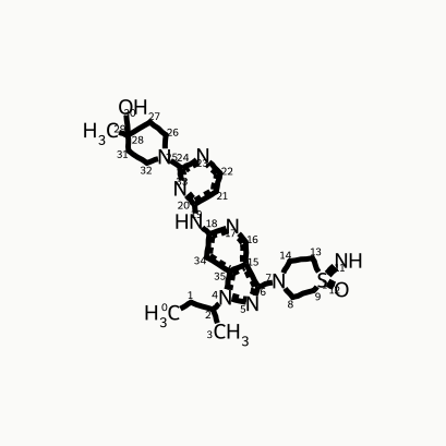 CCC(C)n1nc(N2CCS(=N)(=O)CC2)c2cnc(Nc3ccnc(N4CCC(C)(O)CC4)n3)cc21